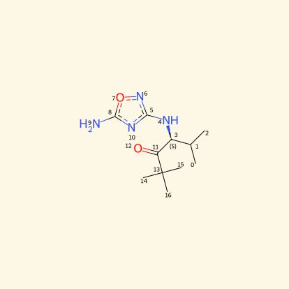 CC(C)[C@H](Nc1noc(N)n1)C(=O)C(C)(C)C